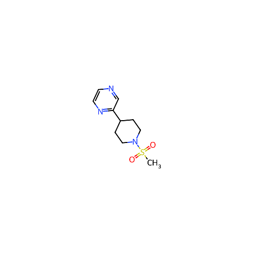 CS(=O)(=O)N1CCC(c2cnccn2)CC1